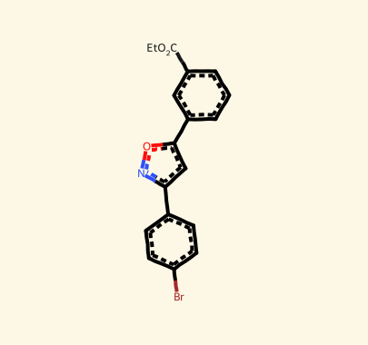 CCOC(=O)c1cccc(-c2cc(-c3ccc(Br)cc3)no2)c1